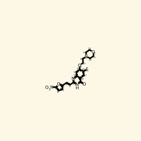 O=c1[nH]c(C=Cc2ccc([N+](=O)[O-])o2)nc2cc(OCCN3CCOCC3)c(F)cc12